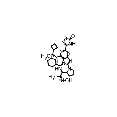 C/C(=N/O)C(=N)C1CCCN1c1nc2nc(-c3noc(=O)[nH]3)nc(N[C@H](C)C3CCC3)c2n1CC1CCCCC1